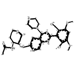 COc1cc(OC)c(Cl)c(-c2nc(N3CCOCC3)c3cc(N[C@@H]4COCC[C@@H]4NC(C)=O)ncc3n2)c1Cl